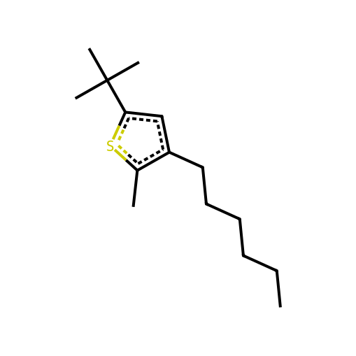 CCCCCCc1cc(C(C)(C)C)sc1C